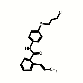 C/C=C/c1ccccc1C(=O)Nc1ccc(SCCCCl)cc1